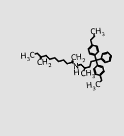 C=C(CC)CCCCCCC(=C)NCC(C)CCC(c1ccccc1)(c1ccc(CC)cc1)c1ccc(CCC)cc1